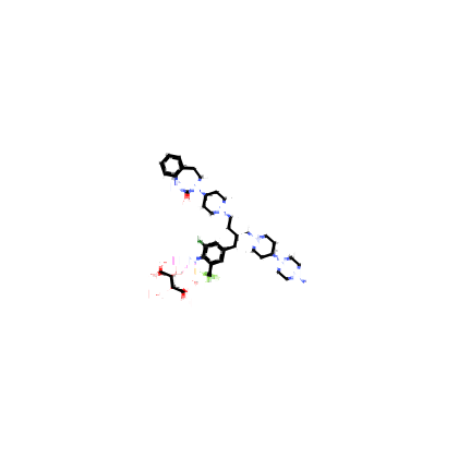 CN1CCN(C2CCN(C[C@H](CCN3CCC(N4CCc5ccccc5NC4=O)CC3)Cc3cc(Cl)c(N)c(C(F)(F)F)c3)CC2)CC1.O=C(O)[C@@H](O)[C@H](O)C(=O)O